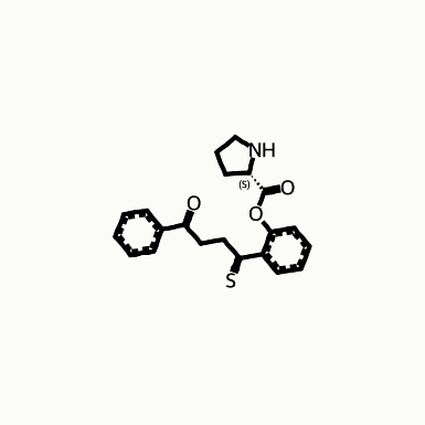 O=C(CCC(=S)c1ccccc1OC(=O)[C@@H]1CCCN1)c1ccccc1